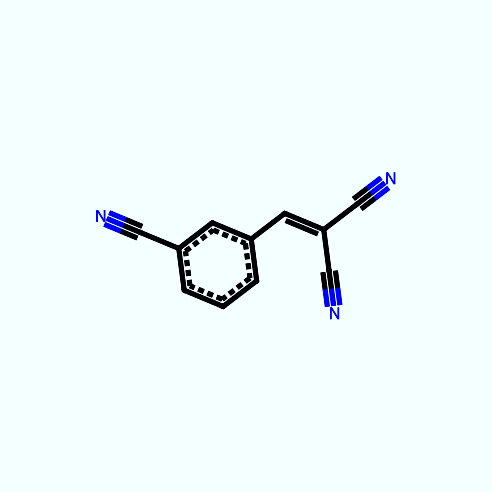 N#CC(C#N)=Cc1cccc(C#N)c1